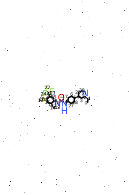 C=Cc1cc(-c2ccc(NC(=O)N3CCc4cc(SC)c(C(F)(F)F)cc43)cc2)ccn1